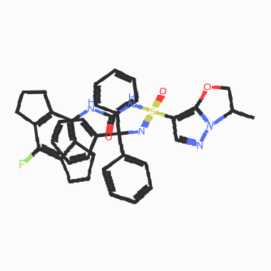 CC1COc2c(S(=O)(=NC(c3ccccc3)(c3ccccc3)c3ccccc3)NC(=O)Nc3c4c(c(F)c5c3CCC5)CCC4)cnn21